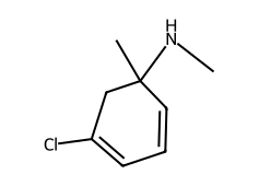 CNC1(C)C=CC=C(Cl)C1